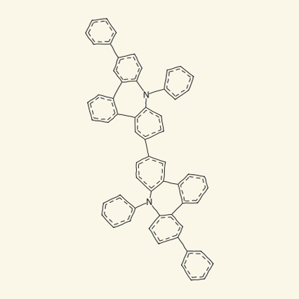 c1ccc(-c2ccc3c(c2)-c2ccccc2-c2cc(-c4ccc5c(c4)-c4ccccc4-c4cc(-c6ccccc6)ccc4N5c4ccccc4)ccc2N3c2ccccc2)cc1